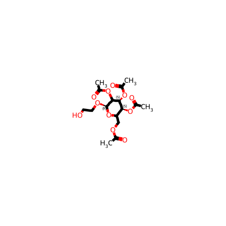 CC(=O)OCC1O[C@@H](OCCO)C(OC(C)=O)[C@@H](OC(C)=O)[C@H]1OC(C)=O